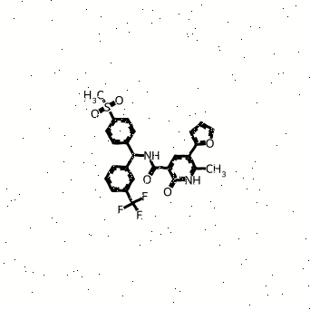 Cc1[nH]c(=O)c(C(=O)NC(c2ccc(S(C)(=O)=O)cc2)c2cccc(C(F)(F)F)c2)cc1-c1ccco1